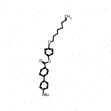 C=CCCCCCCOc1ccc(OC(=O)c2ccc(-c3ccc(CCCC)cc3)cc2)cc1